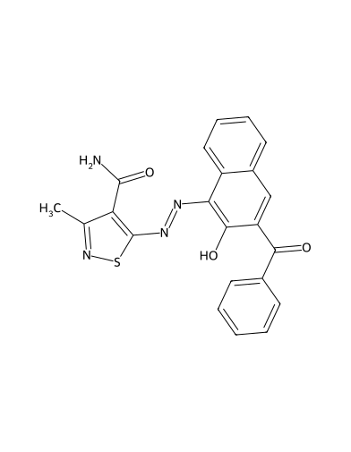 Cc1nsc(/N=N/c2c(O)c(C(=O)c3ccccc3)cc3ccccc23)c1C(N)=O